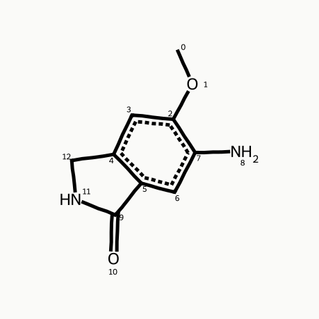 COc1cc2c(cc1N)C(=O)NC2